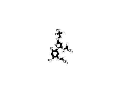 Cc1cc(F)c(-n2nc(OCC(F)(F)C(F)(F)F)cc2NC(=O)C(F)(F)F)cc1SCC(F)(F)F